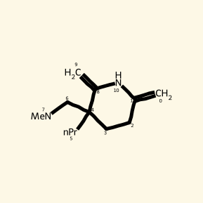 C=C1CCC(CCC)(CNC)C(=C)N1